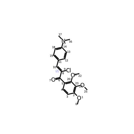 COc1ccc(C(=O)/C(Cl)=C/c2ccc(N(C)C)cc2)c(OC)c1OC